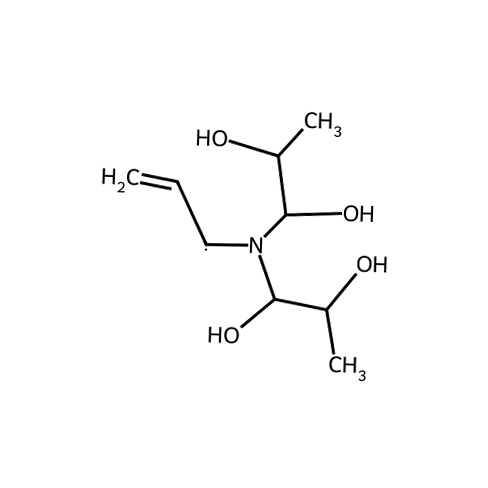 C=C[CH]N(C(O)C(C)O)C(O)C(C)O